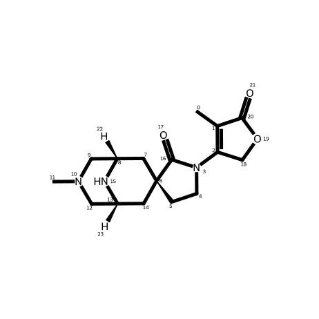 CC1=C(N2CC[C@@]3(C[C@H]4CN(C)C[C@@H](C3)N4)C2=O)COC1=O